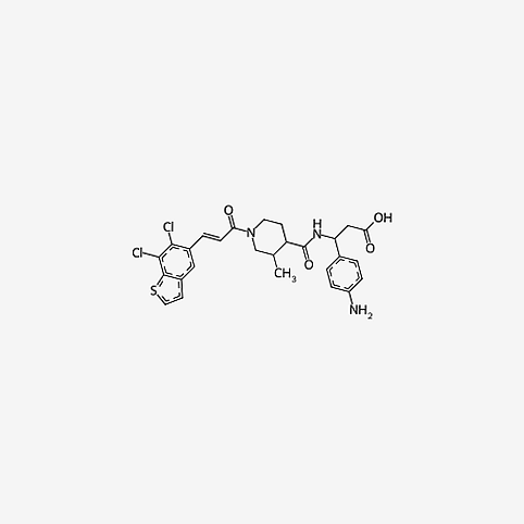 CC1CN(C(=O)C=Cc2cc3ccsc3c(Cl)c2Cl)CCC1C(=O)NC(CC(=O)O)c1ccc(N)cc1